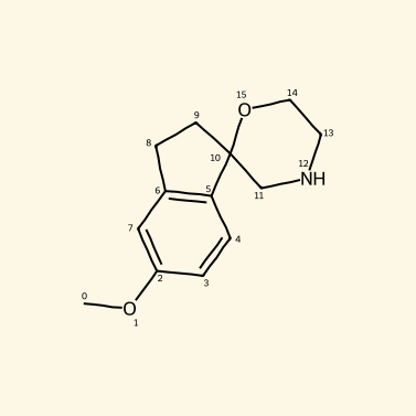 COc1ccc2c(c1)CCC21CNCCO1